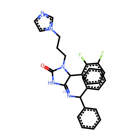 O=C1N/C(=N/C(c2ccccc2)c2ccccc2)C(c2cccc(F)c2F)N1CCCn1ccnc1